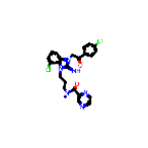 CN(CCCn1c(=N)n(CC(=O)c2ccc(Cl)cc2)c2cccc(Cl)c21)C(=O)c1cnccn1